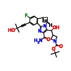 CC(C)(O)C#Cc1cc2c(cc1F)C1=C[C@H](C1)n1c-2nc(C(N)=O)c1C(O)C1CN(C(=O)OC(C)(C)C)C1